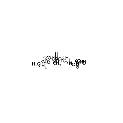 C[C@H]1CC(C2CCN(c3ccc4c(c3)C(=O)N(C3CCC(=O)NC3=O)C4=O)CC2)CCN1c1ccc(Nc2nc(-c3ccnc(N4CCn5c(cc6c5CC(C)(C)C6)C4=O)c3CO)cn(C)c2=O)cc1